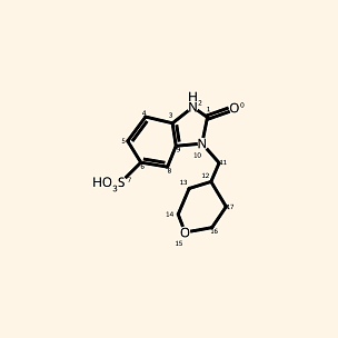 O=c1[nH]c2ccc(S(=O)(=O)O)cc2n1CC1CCOCC1